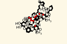 CC[C@H](C)C(NC(=O)C1CCCCN1C)C(=O)N(C)[C@H](C[C@@H](OC(C)=O)c1nc(C(=O)N(C)[C@@H](Cc2ccc(OC3OC(CO)C(O)C(O)C3O)cc2)C(=O)N[C@H](CCCCN)C(=O)N[C@@H](Cc2ccccc2)C(=O)N2CCN(C(=O)CCCN3C(=O)C=CC3=O)CC2)cs1)C(C)C